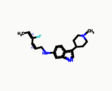 C/C=C(F)\C=C/CNc1ccc2c(C3CCN(C)CC3)c[nH]c2c1